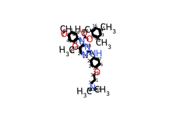 COc1ccc(N(C(=O)Oc2c(C)cc(C)cc2C)c2ccnc(Nc3ccc(OCCCN(C)C)cc3)n2)c(OC)c1